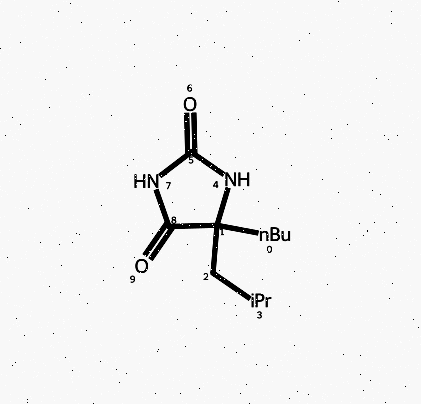 CCCCC1(CC(C)C)NC(=O)NC1=O